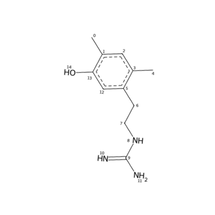 Cc1cc(C)c(CCNC(=N)N)cc1O